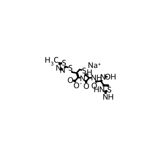 Cc1nnc(SCC2=C(C(=O)[O-])N3C(=O)C(NC(=O)C(=NO)c4csc(=N)[nH]4)[C@@H]3SC2)s1.[Na+]